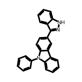 c1ccc(-n2c3ccccc3c3cc(-c4n[nH]c5ccccc45)ccc32)cc1